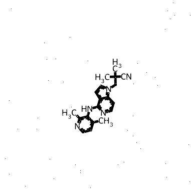 Cc1ccnc(C)c1Nc1nccc2c1ccn2CC(C)(C)C#N